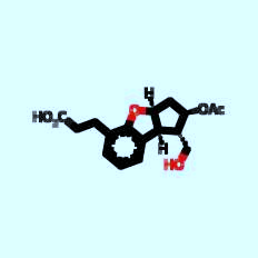 CC(=O)O[C@@H]1C[C@@H]2Oc3c(CCC(=O)O)cccc3[C@@H]2[C@H]1CO